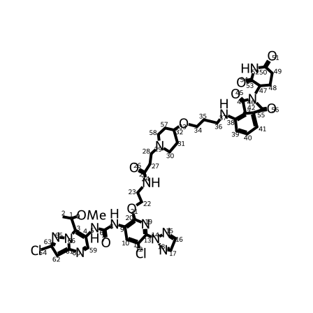 COC(C)c1c(NC(=O)Nc2cc(Cl)c(-n3nccn3)nc2OCCNC(=O)CCN2CCC(OCCCNc3cccc4c3C(=O)N(C3CCC(=O)NC3=O)C4=O)CC2)cnc2cc(Cl)nn12